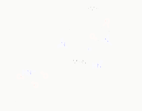 CN/C(C1=Cc2cc(OC)ccc2-c2c(C3CCCCC3)c3ccc(C(=O)NS(=O)(=O)C4CCCC4)cc3n2C1)=C(\C=N)C(=O)N1C(C)CCCC12CO2